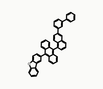 c1ccc(-c2cccc(-c3ccc4c(-c5c6ccccc6c(-c6ccc7oc8ccccc8c7c6)c6ccccc56)cccc4c3)c2)cc1